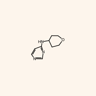 c1cc(NC2CCOCC2)ncn1